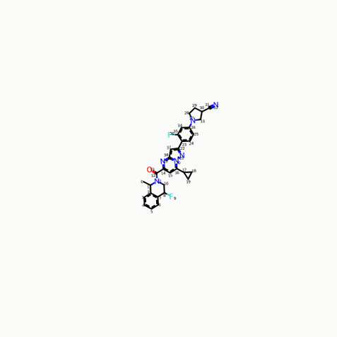 CC1c2ccccc2C(F)CN1C(=O)c1cc(C2CC2)n2nc(-c3ccc(N4CCC(C#N)C4)cc3F)cc2n1